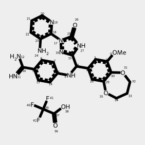 COc1cc(C(Nc2ccc(C(=N)N)cc2)c2nn(-c3ncccc3N)c(=O)[nH]2)cc2c1OCCCO2.O=C(O)C(F)(F)F